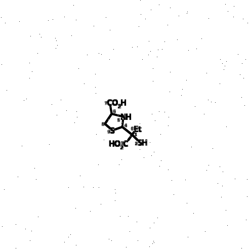 CCC(S)(C(=O)O)C1NC(C(=O)O)CS1